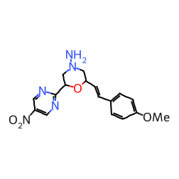 COc1ccc(C=CC2CN(N)CC(c3ncc([N+](=O)[O-])cn3)O2)cc1